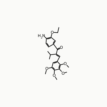 CCOc1cc(C(=O)/C(=C/c2cc(OC)c(OC)c(OC)c2OC)C(C)C)ccc1N